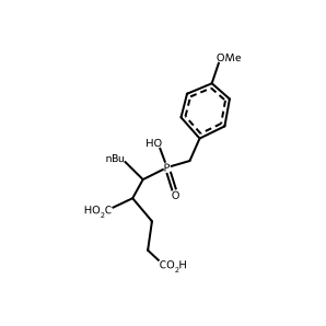 CCCCC(C(CCC(=O)O)C(=O)O)P(=O)(O)Cc1ccc(OC)cc1